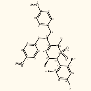 COc1ccc(CN(Cc2ccc(OC)cc2)C2=N[C@H](C)C(c3c(F)cc(F)cc3F)S(=O)(=O)N2C)cc1